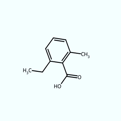 CCc1cccc(C)c1C(=O)O